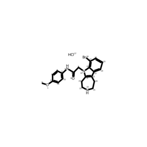 COc1ccc(NC(=O)Cn2c3c(c4cccc(Br)c42)CCNCC3)cc1.Cl